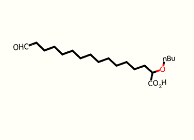 CCCCOC(CCCCCCCCCCCCCC=O)C(=O)O